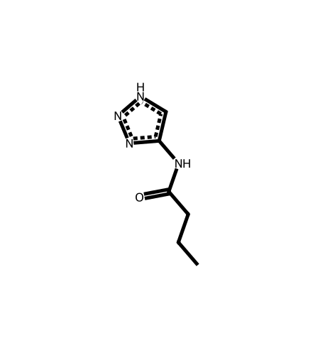 CCCC(=O)Nc1c[nH]nn1